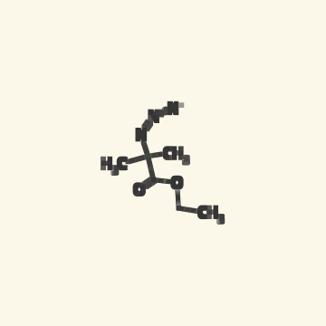 CCOC(=O)C(C)(C)N=[N+]=[N-]